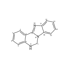 c1ccc2c(c1)NCn1c-2nc2ccccc21